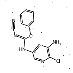 N#C/N=C(/Nc1cnc(Cl)c(N)c1)Oc1ccccc1